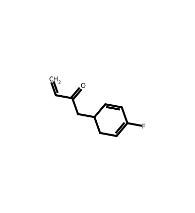 C=CC(=O)CC1C=CC(F)=CC1